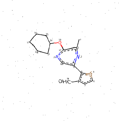 Cc1nc(-c2sccc2C=O)cnc1OC1CCCCC1